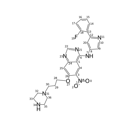 O=[N+]([O-])c1cc2c(Nc3ccnc(-c4ccccc4F)c3)ncnc2cc1OCCCN1CCNCC1